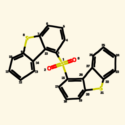 O=S(=O)(c1cccc2sc3ccccc3c12)c1cccc2sc3ccccc3c12